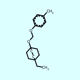 CCC12CCC(OCOc3ccc(C)cc3)(CC1)CC2